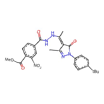 COC(=O)c1ccc(C(=O)NNC(C)=C2C(=O)N(c3ccc(C(C)(C)C)cc3)N=C2C)cc1[N+](=O)[O-]